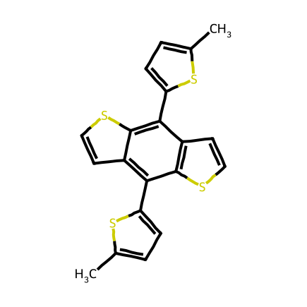 Cc1ccc(-c2c3ccsc3c(-c3ccc(C)s3)c3ccsc23)s1